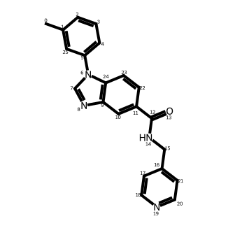 Cc1cccc(-n2cnc3cc(C(=O)NCc4ccncc4)ccc32)c1